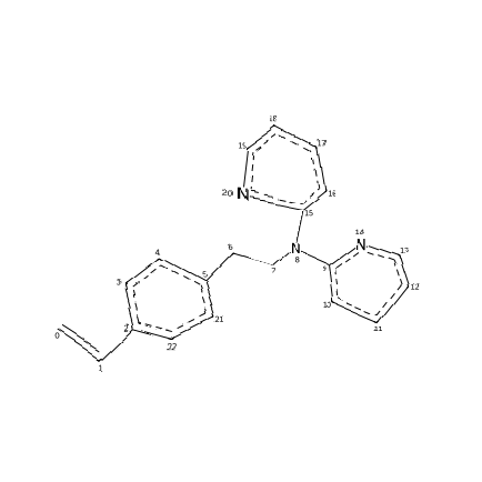 C=Cc1ccc(CCN(c2ccccn2)c2ccccn2)cc1